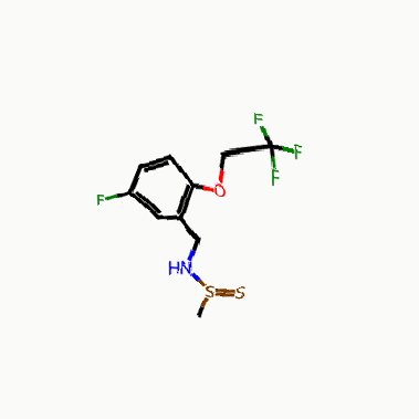 CS(=S)NCc1cc(F)ccc1OCC(F)(F)F